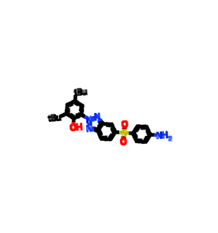 CC(C)(C)c1cc(-n2nc3ccc(S(=O)(=O)c4ccc(N)cc4)cc3n2)c(O)c(C(C)(C)C)c1